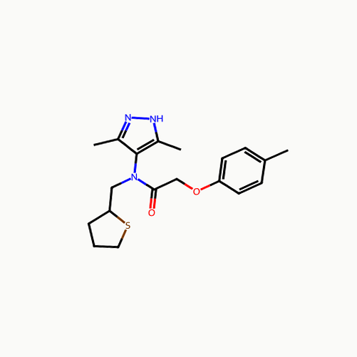 Cc1ccc(OCC(=O)N(CC2CCCS2)c2c(C)n[nH]c2C)cc1